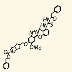 COc1cc2c(Oc3cccc(NC(=S)NC(=O)Cc4ccccc4)c3F)ncnc2cc1OCC1CC2CN(C(=O)OCc3ccccc3)CC2C1